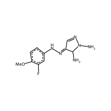 COc1ccc(NN=C2C=NN(N)C2N)cc1F